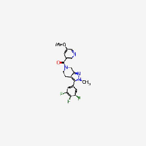 COc1cncc(C(=O)N2CCc3c(nn(C)c3-c3cc(F)c(F)c(F)c3)C2)c1